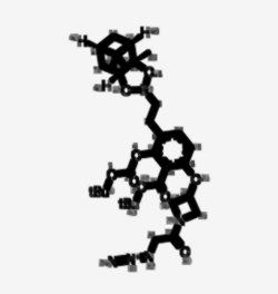 CC(C)(C)OC(=O)Oc1c(CCB2O[C@@H]3C[C@@H]4C[C@@H](C4(C)C)[C@]3(C)O2)ccc(OC2CN(C(=O)CN=[N+]=[N-])C2)c1C(=O)OC(C)(C)C